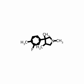 Cc1ccc(C2(C)CN(C)CC2C)cc1F